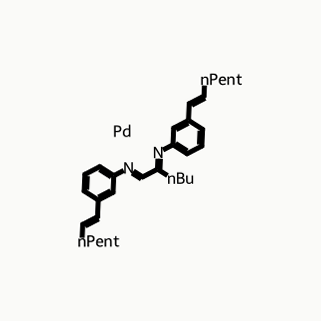 CCCCCC=Cc1cccc(N=CC(CCCC)=Nc2cccc(C=CCCCCC)c2)c1.[Pd]